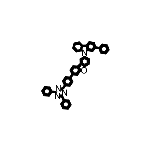 C1=CC2c3ccc(-c4ccccc4)cc3N(c3ccc4oc5cc(-c6ccc(-c7nc(-c8ccccc8)nc(-c8ccccc8)n7)cc6)ccc5c4c3)C2C=C1